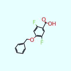 O=C(O)c1cc(F)c(OCc2ccccc2)cc1F